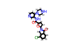 O=C(Nc1cnccc1N1CCNCC1)C1=CCC(N2Cc3c(Cl)cccc3C2=O)O1